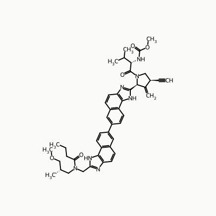 C#C[C@@H]1CN(C(=O)[C@@H](NC(=O)OC)C(C)C)[C@H](c2nc3ccc4cc(-c5ccc6c(ccc7nc(CN(C[C@H](C)COC)C(=O)CCC)[nH]c76)c5)ccc4c3[nH]2)C1=C